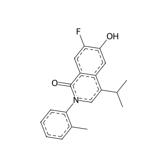 Cc1ccccc1-n1cc(C(C)C)c2cc(O)c(F)cc2c1=O